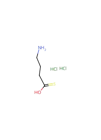 Cl.Cl.NCCCC(O)=S